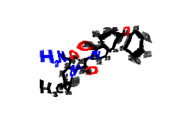 CC12CC(C(N)=O)N(C(=O)CN3CCc4cc(Oc5ccccc5)ccc4C3=O)C1C2